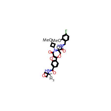 COc1cc(F)ccc1CNC(=O)C1(C)COc2c(oc3cc(C(=O)NC4(C)COC4)ccc23)C(=O)N1[C@H]1C[C@@H](OC)C1